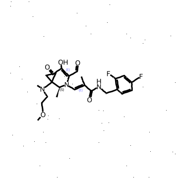 COCCN(C)C1([C@H](C)N(/C=C(\C)C(=O)NCc2ccc(F)cc2F)/C(C=O)=C(/O)C=O)CC1